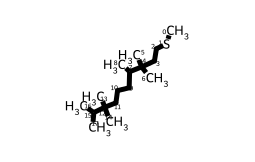 CSCCC(C)(C)C(C)CCCC(C)(C)C(C)C